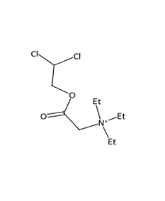 CC[N+](CC)(CC)CC(=O)OCC(Cl)Cl